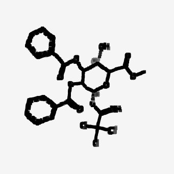 COC(=O)C1O[C@H](OC(=N)C(Cl)(Cl)Cl)C(OC(=O)c2ccccc2)C(OC(=O)c2ccccc2)[C@@H]1O